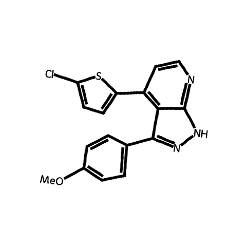 COc1ccc(-c2n[nH]c3nccc(-c4ccc(Cl)s4)c23)cc1